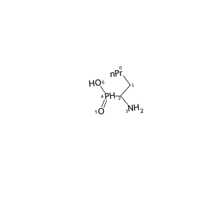 CCCCC(N)[PH](=O)O